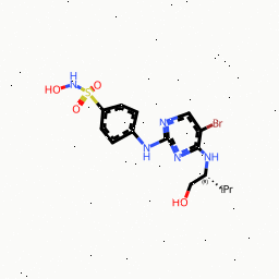 CC(C)[C@H](CO)Nc1nc(Nc2ccc(S(=O)(=O)NO)cc2)ncc1Br